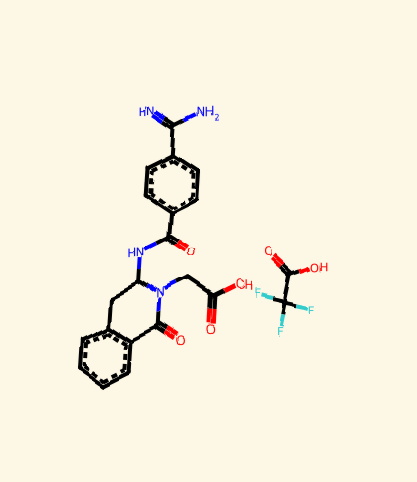 N=C(N)c1ccc(C(=O)NC2Cc3ccccc3C(=O)N2CC(=O)O)cc1.O=C(O)C(F)(F)F